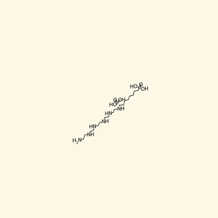 NCCNCCNCCNCCNCCNC(CCCCCCCP(=O)(O)O)P(=O)(O)O